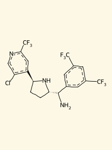 NC(c1cc(C(F)(F)F)cc(C(F)(F)F)c1)[C@@H]1CC[C@@H](c2cc(C(F)(F)F)ncc2Cl)N1